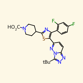 CC(C)(C)c1nnc2ccc(-c3sc(C4CCN(C(=O)O)CC4)nc3-c3ccc(F)cc3F)nn12